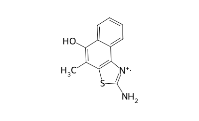 Cc1c2c(c3ccccc3c1O)[N+]=C(N)S2